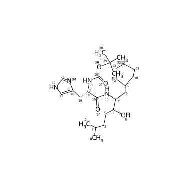 CC(C)CCC(O)C(CC1CCCCC1)NC(=O)[C@H](Cc1c[nH]cn1)NC(=O)OC(C)(C)C